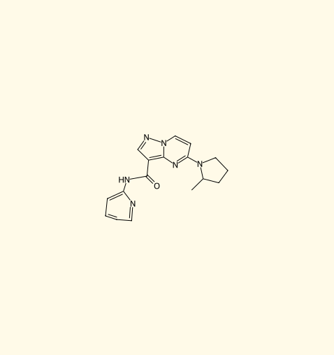 CC1CCCN1c1ccn2ncc(C(=O)Nc3ccccn3)c2n1